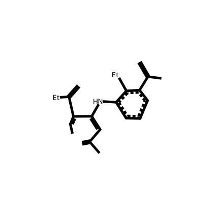 C=C(C)/C=C(Nc1cccc(C(=C)C)c1CC)\C(=C/C)C(=C)CC